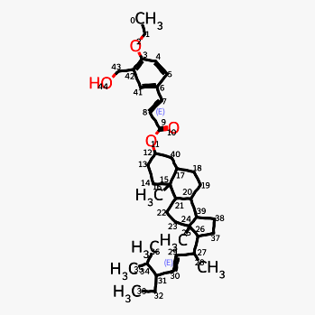 CCOc1ccc(/C=C/C(=O)OC2CCC3(C)C(CCC4C3CCC3(C)C(C(C)/C=C/C(CC)C(C)C)CCC43)C2)cc1CO